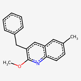 COc1nc2ccc(C)cc2cc1Cc1ccccc1